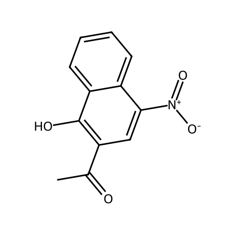 CC(=O)c1cc([N+](=O)[O-])c2ccccc2c1O